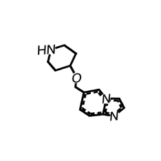 c1cn2cc(COC3CCNCC3)ccc2n1